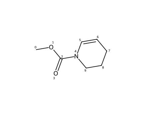 COC(=O)N1C=CCCC1